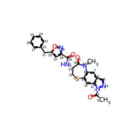 CC(=O)n1ncc2cc3c(cc21)SC[C@H](NC(=O)c1cc(Cc2ccccc2)on1)C(=O)N3C